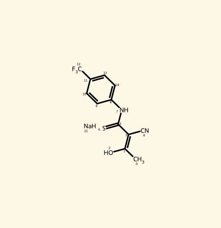 C/C(O)=C(\C#N)C(=S)Nc1ccc(C(F)(F)F)cc1.[NaH]